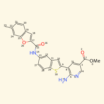 COC(=O)c1cnc(N)c(-c2cc3cc(NC(=O)c4cc5ccc(C)cc5o4)ccc3s2)c1